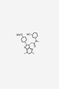 COc1ccc(-c2nn3c(C)cc(C)nc3c2CC(=O)N(C)c2cccc(C#N)c2)cc1